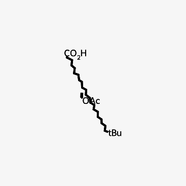 C=COC(C)=O.CC(C)(C)CCCCCCCCCCCCCCCCCCCCCC(=O)O